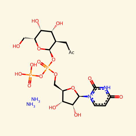 CC(=O)C[C@H]1[C@@H](OP(=O)(OC[C@H]2O[C@@H](n3ccc(=O)[nH]c3=O)[C@H](O)[C@@H]2O)OP(=O)(O)O)O[C@H](CO)[C@H](O)[C@@H]1O.N.N